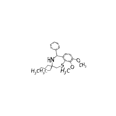 CCCCC1(CC)CSc2c(ccc(OC)c2OC)C(c2ccccc2)N1